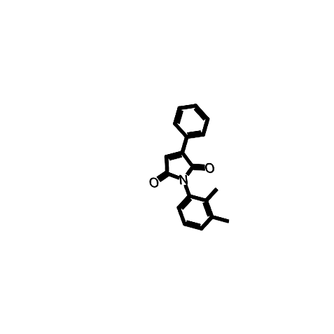 Cc1cccc(N2C(=O)C=C(c3ccccc3)C2=O)c1C